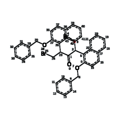 O=C(C(CBr)c1c(OCc2ccccc2)ccc2ccccc12)C(CBr)c1c(OCc2ccccc2)ccc2ccccc12